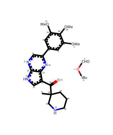 CC(C)(C)OC=O.COc1cc(-c2cnc3[nH]cc(C(=O)C4(C)CCCNC4)c3n2)cc(OC)c1OC